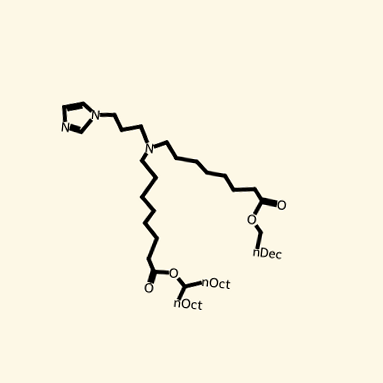 CCCCCCCCCCCOC(=O)CCCCCCCN(CCCCCCCC(=O)OC(CCCCCCCC)CCCCCCCC)CCCn1ccnc1